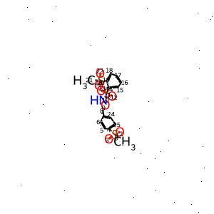 CS(=O)(=O)c1ccc(CONS(=O)(=O)c2ccccc2S(C)(=O)=O)cc1